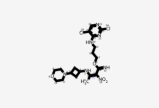 C/C(NC1CC(N2CCOCC2)C1)=C(/C(=N)OCCCNc1nc(Cl)ncc1Cl)[N+](=O)[O-]